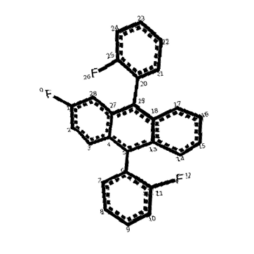 Fc1ccc2c(-c3ccccc3F)c3ccccc3c(-c3ccccc3F)c2c1